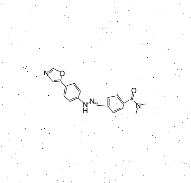 CN(C)C(=O)c1ccc(C=NNc2ccc(-c3cnco3)cc2)cc1